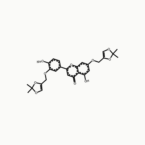 COc1ccc(-c2cc(=O)c3c(O)cc(OCC4=COC(C)(C)O4)cc3o2)cc1OCC1=COC(C)(C)O1